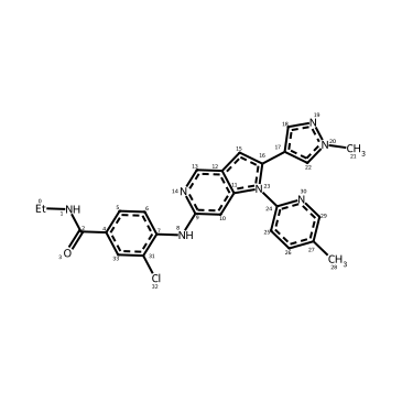 CCNC(=O)c1ccc(Nc2cc3c(cn2)cc(-c2cnn(C)c2)n3-c2ccc(C)cn2)c(Cl)c1